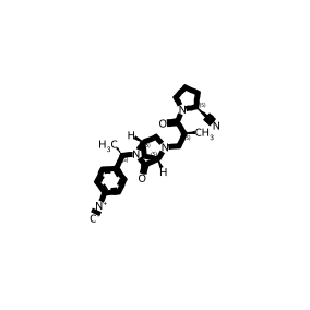 [C-]#[N+]c1ccc([C@H](C)N2C(=O)[C@@H]3C[C@H]2CN3C[C@H](C)C(=O)N2CCC[C@H]2C#N)cc1